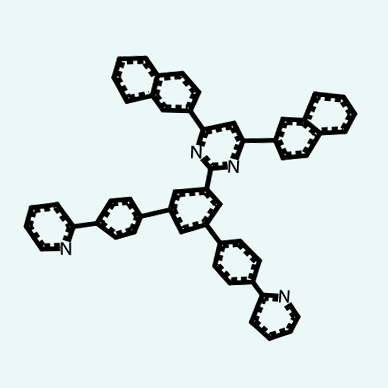 c1ccc(-c2ccc(-c3cc(-c4ccc(-c5ccccn5)cc4)cc(-c4nc(-c5ccc6ccccc6c5)cc(-c5ccc6ccccc6c5)n4)c3)cc2)nc1